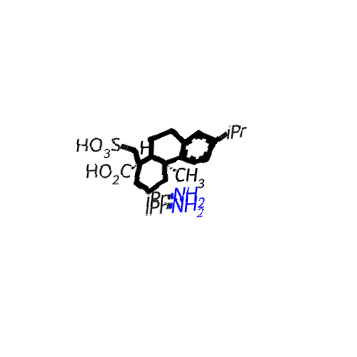 CC(C)N.CC(C)N.CC(C)c1ccc2c(c1)CC[C@H]1[C@@](CS(=O)(=O)O)(C(=O)O)CCC[C@]21C